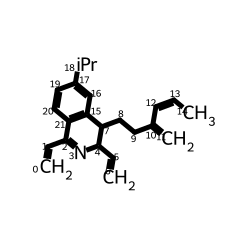 C=CC1=NC(C=C)C(CCC(=C)/C=C\C)c2cc(C(C)C)ccc21